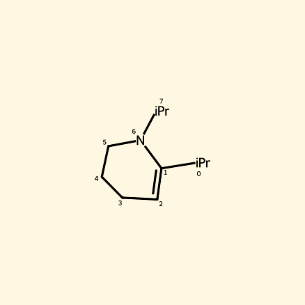 CC(C)C1=CCCCN1C(C)C